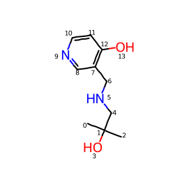 CC(C)(O)CNCc1cnccc1O